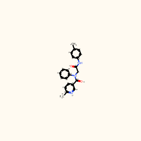 Cc1ccc(NC(=O)CN(C(=O)c2ccc(C(F)(F)F)nc2)c2ccccc2)cc1